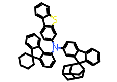 c1ccc2c(c1)-c1c(N(c3ccc4c(c3)C3(c5ccccc5-4)C4CC5CC(C4)CC3C5)c3ccc4c(c3)sc3ccccc34)cccc1C21CCCCC1